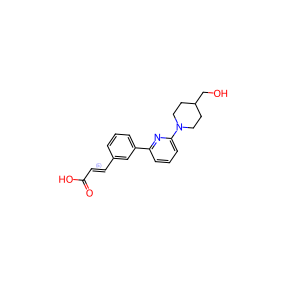 O=C(O)/C=C/c1cccc(-c2cccc(N3CCC(CO)CC3)n2)c1